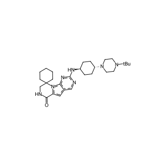 CC(C)(C)N1CCN([C@H]2CC[C@H](Nc3ncc4cc5n(c4n3)C3(CCCCC3)CNC5=O)CC2)CC1